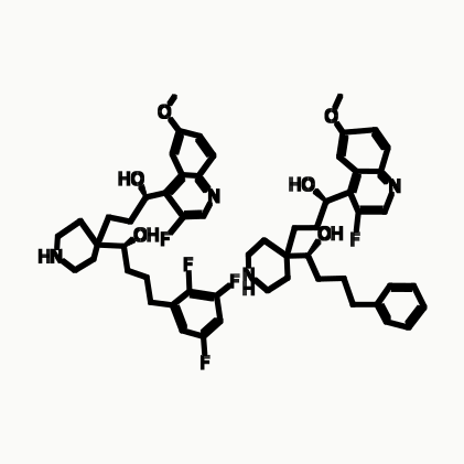 COc1ccc2ncc(F)c([C@H](O)CCC3([C@@H](O)CCCc4cc(F)cc(F)c4F)CCNCC3)c2c1.COc1ccc2ncc(F)c([C@H](O)CCC3([C@@H](O)CCCc4ccccc4)CCNCC3)c2c1